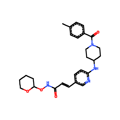 Cc1ccc(C(=O)N2CCC(Nc3ccc(C=CC(=O)NOC4CCCCO4)cn3)CC2)cc1